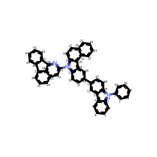 c1ccc(-n2c3ccccc3c3cc(-c4ccc5c(c4)c4c6ccccc6ccc4n5-c4cc5cccc6c5c(n4)-c4ccccc4-6)ccc32)cc1